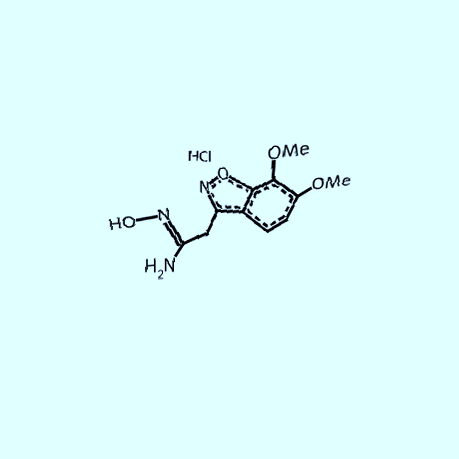 COc1ccc2c(CC(N)=NO)noc2c1OC.Cl